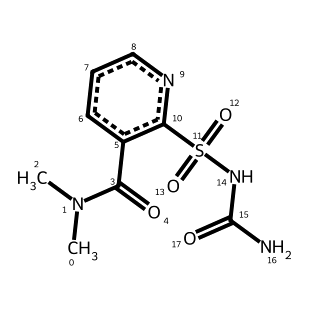 CN(C)C(=O)c1cccnc1S(=O)(=O)NC(N)=O